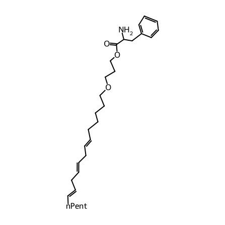 CCCCCC=CCC=CCC=CCCCCCOCCCOC(=O)C(N)Cc1ccccc1